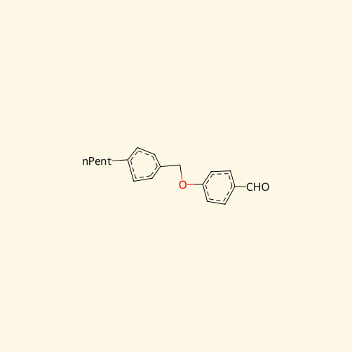 CCCCCc1ccc(COc2ccc(C=O)cc2)cc1